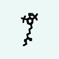 CCOC(=O)CCCCc1cc(C(C)(C)C)c(O)c(C(C)(C)C)c1